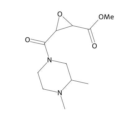 COC(=O)C1OC1C(=O)N1CCN(C)C(C)C1